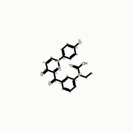 CCN(C(=O)O)c1cccc(C(=O)c2nn(-c3ccc(Cl)cc3)ccc2=O)c1